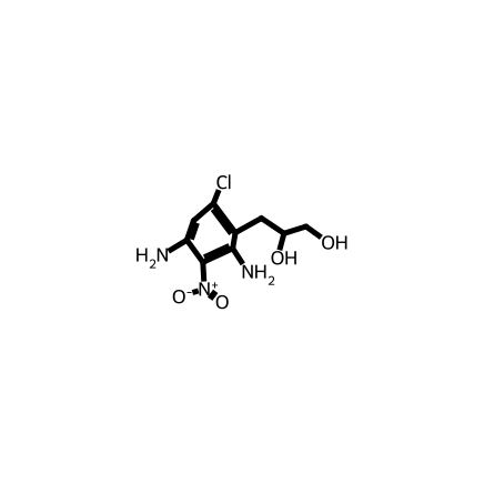 Nc1cc(Cl)c(CC(O)CO)c(N)c1[N+](=O)[O-]